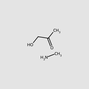 CC(=O)CO.CN